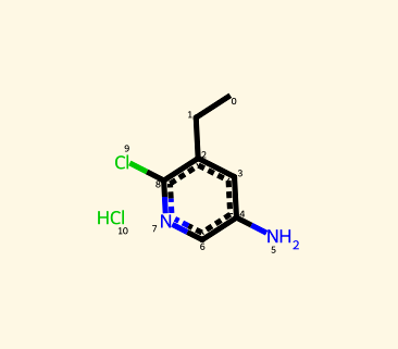 CCc1cc(N)cnc1Cl.Cl